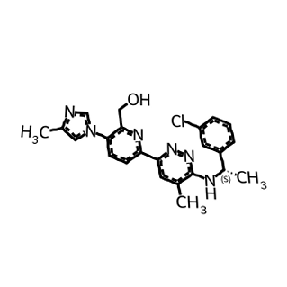 Cc1cn(-c2ccc(-c3cc(C)c(N[C@@H](C)c4cccc(Cl)c4)nn3)nc2CO)cn1